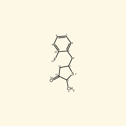 CC1SC(Cc2ccccc2F)CC1=O